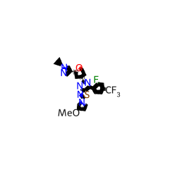 CO[C@@H]1CCN(c2nc3nc([C@H]4CCO[C@@H](c5cnn(C6CC6)c5)C4)nc(-c4ccc(C(F)(F)F)cc4F)c3s2)C1